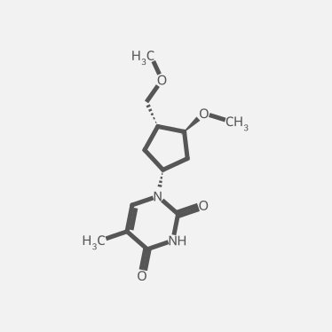 COC[C@H]1C[C@@H](n2cc(C)c(=O)[nH]c2=O)C[C@@H]1OC